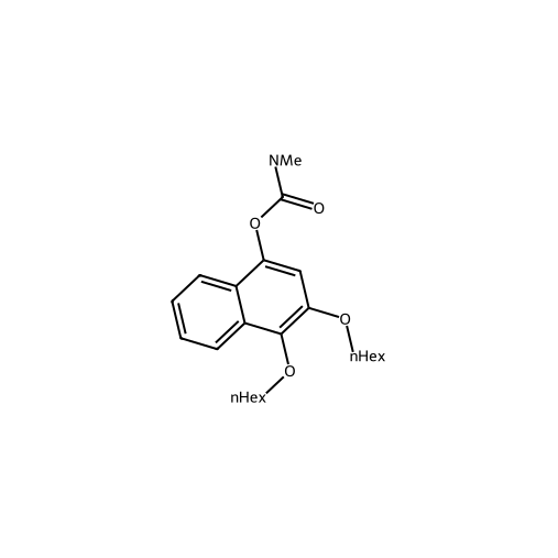 CCCCCCOc1cc(OC(=O)NC)c2ccccc2c1OCCCCCC